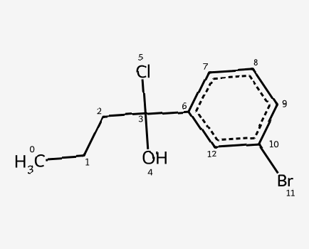 CCCC(O)(Cl)c1cccc(Br)c1